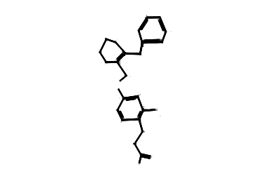 O=C(O)CCc1ccc(OCC2=C(Cc3ccccc3)CCCC2)cc1Cl